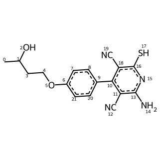 CC(O)CCOc1ccc(-c2c(C#N)c(N)nc(S)c2C#N)cc1